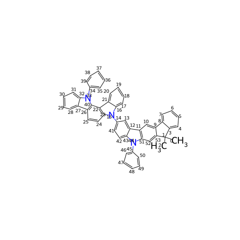 CC1(C)c2ccccc2-c2cc3c4cc(-n5c6ccccc6c6c5ccc5c7ccccc7n(-c7ccccc7)c56)ccc4n(-c4ccccc4)c3cc21